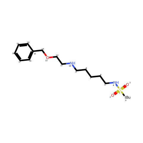 CC(C)(C)S(=O)(=O)NCCCCCNCCOCc1ccccc1